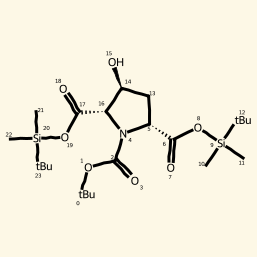 CC(C)(C)OC(=O)N1[C@@H](C(=O)O[Si](C)(C)C(C)(C)C)C[C@H](O)[C@H]1C(=O)O[Si](C)(C)C(C)(C)C